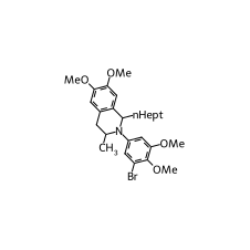 CCCCCCCC1c2cc(OC)c(OC)cc2CC(C)N1c1cc(Br)c(OC)c(OC)c1